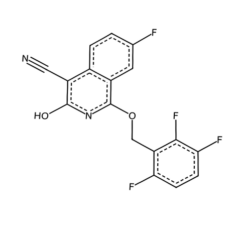 N#Cc1c(O)nc(OCc2c(F)ccc(F)c2F)c2cc(F)ccc12